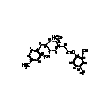 Cc1ccc(CC2CCN(CCOc3ccc(F)cc3F)CC2)c(F)c1.Cl